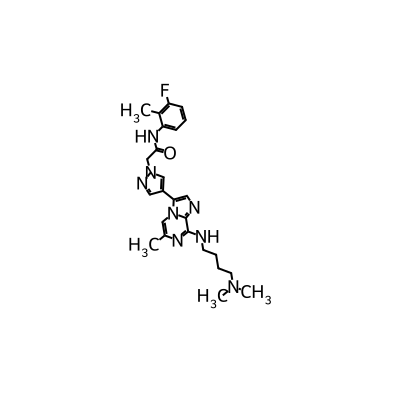 Cc1cn2c(-c3cnn(CC(=O)Nc4cccc(F)c4C)c3)cnc2c(NCCCCN(C)C)n1